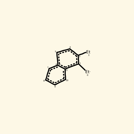 C[CH]c1c(CC)ccc2ccccc12